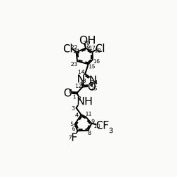 O=C(NCc1cc(F)cc(C(F)(F)F)c1)c1nc(-c2cc(Cl)c(O)c(Cl)c2)no1